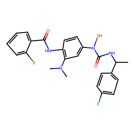 CC(NC(=O)N(S)c1ccc(NC(=O)c2ccccc2F)c(N(C)C)c1)c1ccc(F)cc1